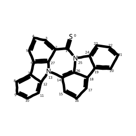 S=c1c2cccc3c4ccccc4n(c4cccc5c6ccccc6n1c54)c23